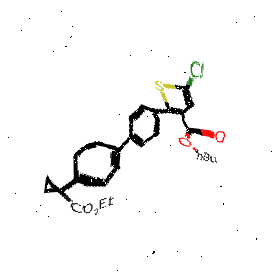 CCCCOC(=O)c1cc(Cl)sc1-c1ccc(-c2ccc(C3(C(=O)OCC)CC3)cc2)cc1